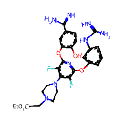 CCOC(=O)CN1CCN(c2c(F)c(Oc3cccc(NC(=N)N)c3)nc(Oc3cc(C(=N)N)ccc3O)c2F)CC1